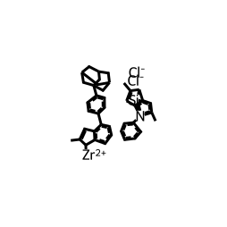 CC1=C2c3c(cc(C)n3-c3ccccc3)C1[Si]2(C)C.CC1=Cc2c(-c3ccc(C45CC6CC(CC(C6)C4)C5)cc3)cccc2[CH]1[Zr+2].[Cl-].[Cl-]